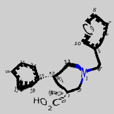 O=C(O)[C@H]1CN(Cc2ccccc2)C[C@H]1c1ccccc1